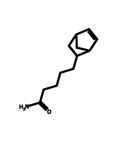 NC(=O)CCCCC1CC2C=CC1C2